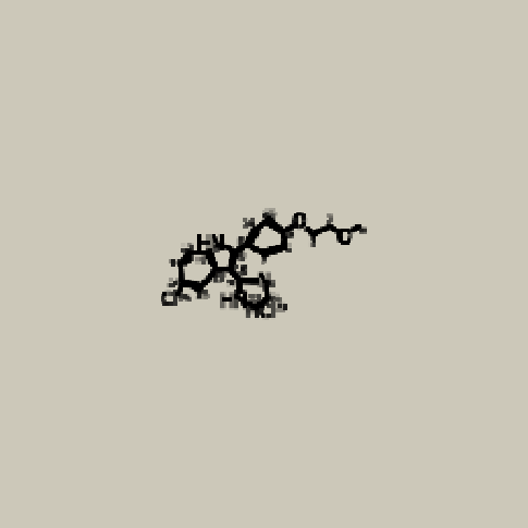 COCCOc1ccc(-c2[nH]c3ccc(Cl)cc3c2C2=NCCN2)cc1.Cl